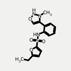 CCc1ccc(S(=O)(=O)Nc2ccccc2C2=CONN2C)o1